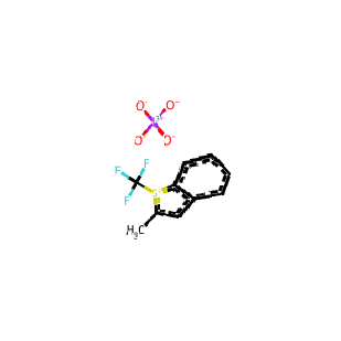 Cc1cc2ccccc2[s+]1C(F)(F)F.[O-][I+3]([O-])([O-])[O-]